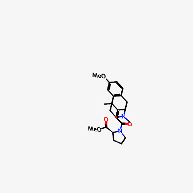 COC(=O)[C@@H]1CCCN1C(=O)/C=C1\C2Cc3ccc(OC)cc3C1(C)CCN2C